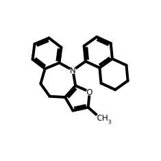 Cc1cc2c(o1)N(c1cccc3c1CCCC3)c1ccccc1CC2